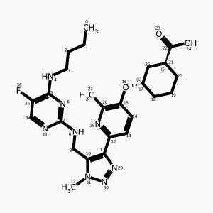 CCCCNc1nc(NCc2c(-c3ccc(O[C@H]4CCC[C@H](C(=O)O)C4)c(C)n3)nnn2C)ncc1F